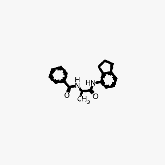 CC(NC(=O)c1ccccc1)C(=O)Nc1cccc2c1CCC2